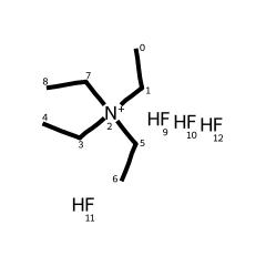 CC[N+](CC)(CC)CC.F.F.F.F